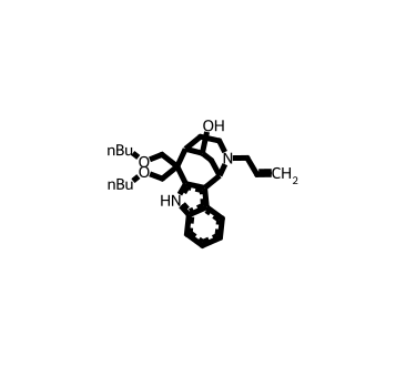 C=CCN1CCC2C(O)CC1c1c([nH]c3ccccc13)C2(COCCCC)COCCCC